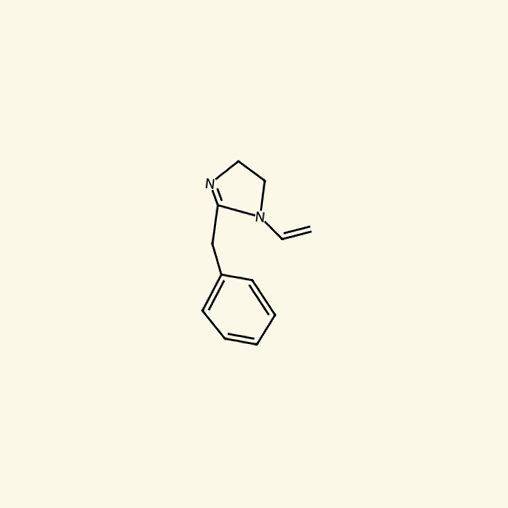 C=CN1CCN=C1Cc1ccccc1